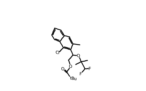 Cc1cc2ccccc2c(Cl)c1C(COC(=O)C(C)(C)C)OC(C)(C)C(F)F